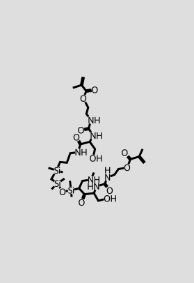 C=C(C)C(=O)OCCNC(=O)NC(CO)C(=O)NCCC[Si](C)(C)C[Si](C)(C)O[Si](C)(C)C(CNC)C(=O)C(CO)NC(=O)NCCOC(=O)C(=C)C